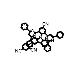 N#Cc1ccc(-c2ccc3c(c2)c2ccccc2n3-c2c(-c3cc(-c4ccccc4)nc(-c4ccccc4)n3)cc(C#N)cc2-c2nc(-c3ccccc3)cc(-c3ccccc3)n2)c(C#N)c1